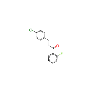 O=C(CCc1ccc(Cl)cc1)c1ccccc1F